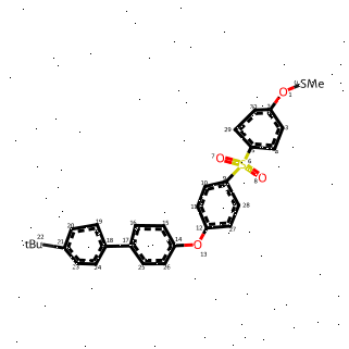 CSOc1ccc(S(=O)(=O)c2ccc(Oc3ccc(-c4ccc(C(C)(C)C)cc4)cc3)cc2)cc1